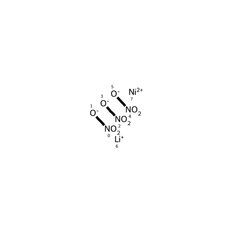 O=[N+]([O-])[O-].O=[N+]([O-])[O-].O=[N+]([O-])[O-].[Li+].[Ni+2]